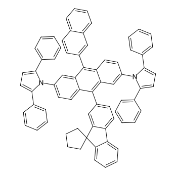 c1ccc(-c2ccc(-c3ccccc3)n2-c2ccc3c(-c4ccc5ccccc5c4)c4cc(-n5c(-c6ccccc6)ccc5-c5ccccc5)ccc4c(-c4ccc5c(c4)C4(CCCC4)c4ccccc4-5)c3c2)cc1